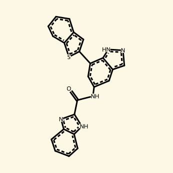 O=C(Nc1cc(-c2cc3ccccc3s2)c2[nH]ncc2c1)c1nc2ccccc2[nH]1